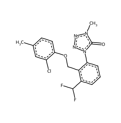 Cc1ccc(OCc2c(C(F)F)cccc2-n2nnn(C)c2=O)c(Cl)c1